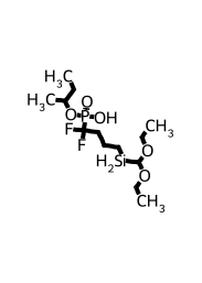 CCOC(OCC)[SiH2]CCCC(F)(F)P(=O)(O)OC(C)CC